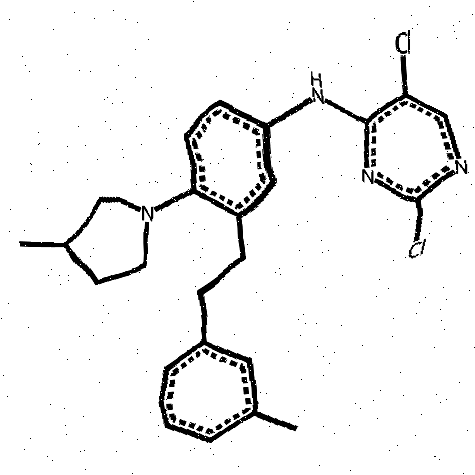 Cc1cccc(CCc2cc(Nc3nc(Cl)ncc3Cl)ccc2N2CCC(C)C2)c1